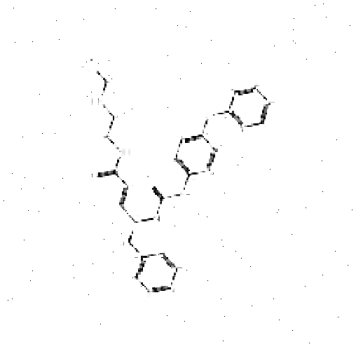 CCNCCNC(=O)/C=C/[C@H](Cc1ccccc1)NC(=O)Nc1ccc(Oc2ccccc2)cc1